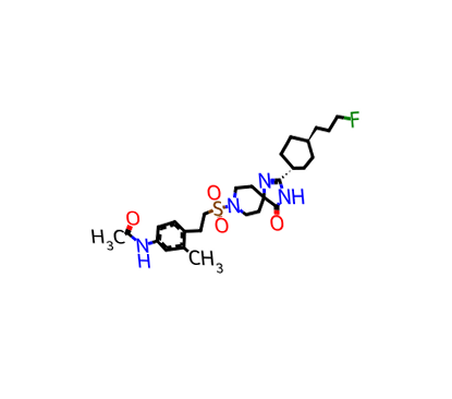 CC(=O)Nc1ccc(CCS(=O)(=O)N2CCC3(CC2)N=C([C@H]2CC[C@H](CCCF)CC2)NC3=O)c(C)c1